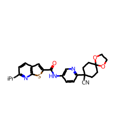 CC(C)c1ccc2cc(C(=O)Nc3ccc(C4(C#N)CCC5(CC4)OCCO5)nc3)sc2n1